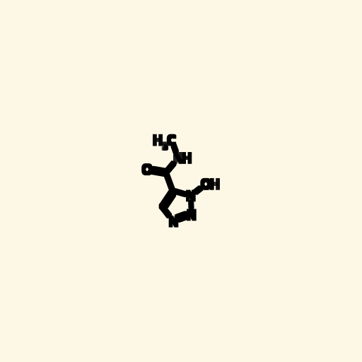 CNC(=O)c1cnnn1O